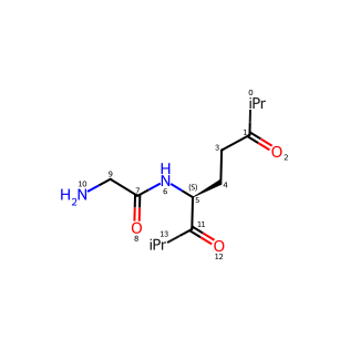 CC(C)C(=O)CC[C@H](NC(=O)CN)C(=O)C(C)C